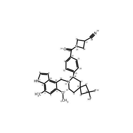 COc1cc(C)c2[nH]ccc2c1CN1CCC2(C[C@@H]1c1ccc(C(=O)N3CC(C#N)C3)cc1)CC(F)(F)C2